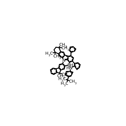 CC(C)(C)c1ccc(Nc2ccccc2-c2cc(-c3ccccc3)c3c4cc5c(cc4n4c3c2Bc2cc3c(cc2-4)-c2ccccc2C3(C)C)C(C)(C)CCC5(C)C)cc1